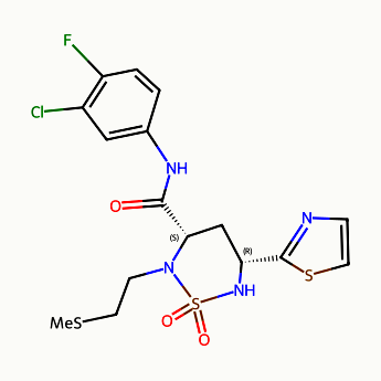 CSCCN1[C@H](C(=O)Nc2ccc(F)c(Cl)c2)C[C@H](c2nccs2)NS1(=O)=O